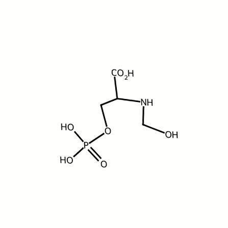 O=C(O)C(COP(=O)(O)O)NCO